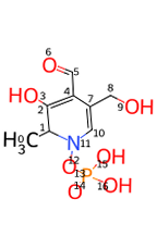 CC1C(O)=C(C=O)C(CO)=CN1OP(=O)(O)O